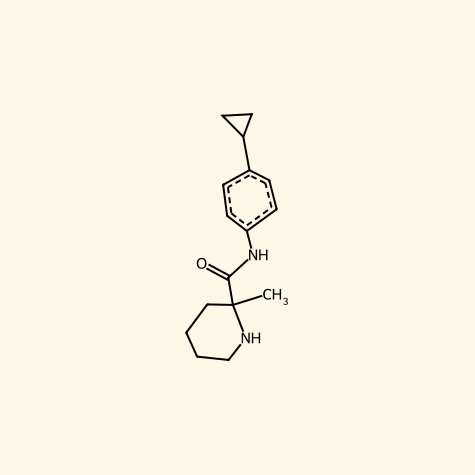 CC1(C(=O)Nc2ccc(C3CC3)cc2)CCCCN1